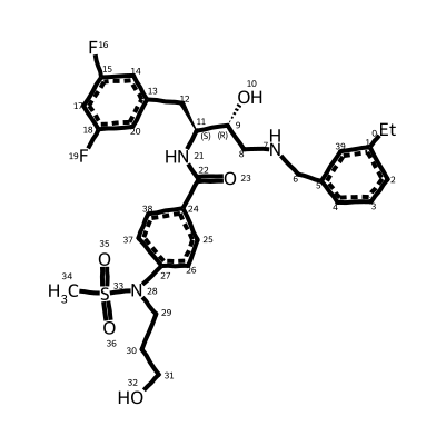 CCc1cccc(CNC[C@@H](O)[C@H](Cc2cc(F)cc(F)c2)NC(=O)c2ccc(N(CCCO)S(C)(=O)=O)cc2)c1